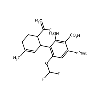 C=C(C)C1CCC(C)=CC1c1c(OC(F)F)cc(CCCCC)c(C(=O)O)c1O